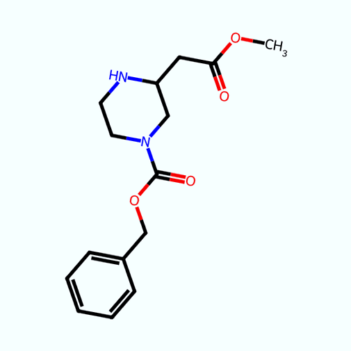 COC(=O)CC1CN(C(=O)OCc2ccccc2)CCN1